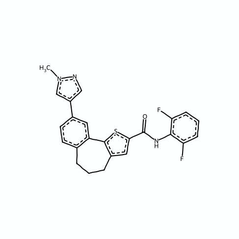 Cn1cc(-c2ccc3c(c2)-c2sc(C(=O)Nc4c(F)cccc4F)cc2CCC3)cn1